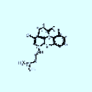 CN(C)CCNN1C=C(Cl)C2=C(C1)N(c1c(F)cccc1F)C(=O)NC2